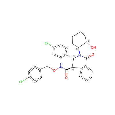 O=C(NOCc1ccc(Cl)cc1)[C@@H]1c2ccccc2C(=O)N([C@H]2CCCC[C@@H]2O)[C@H]1c1ccc(Cl)cc1